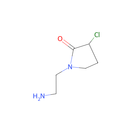 NCCN1CCC(Cl)C1=O